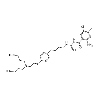 Cc1nc(N)c(C(=O)NC(=N)NCCCCc2ccc(OCCN(CCCN)CCCN)cc2)nc1Cl